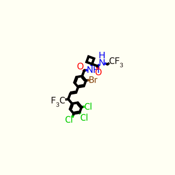 O=C(NC1(C(=O)NCC(F)(F)F)CCC1)c1ccc(/C=C/C(c2cc(Cl)c(Cl)c(Cl)c2)C(F)(F)F)cc1Br